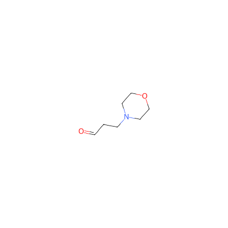 O=CCCN1CCOCC1